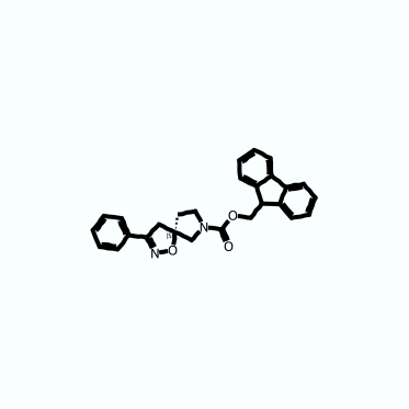 O=C(OCC1c2ccccc2-c2ccccc21)N1CC[C@]2(CC(c3ccccc3)=NO2)C1